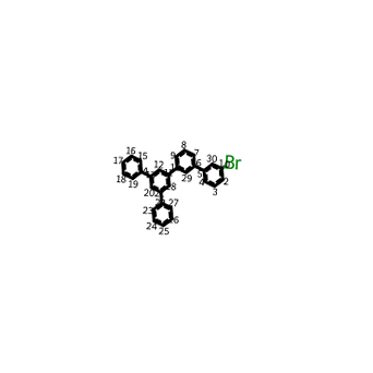 Brc1cccc(-c2cccc(-c3cc(-c4ccccc4)cc(-c4ccccc4)c3)c2)c1